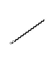 CCCCCCCCCCCCCCCCCCCCCCCCOC=O